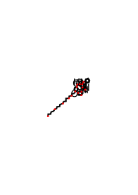 CCCCCCCCCCCCCCCCCCOc1ccc(C(=O)C(OC)(Sc2nnnn2-c2ccccc2)C(=O)Nc2ccccc2)cc1